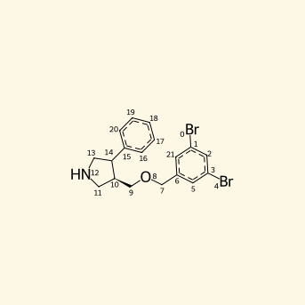 Brc1cc(Br)cc(COC[C@H]2CNCC2c2ccccc2)c1